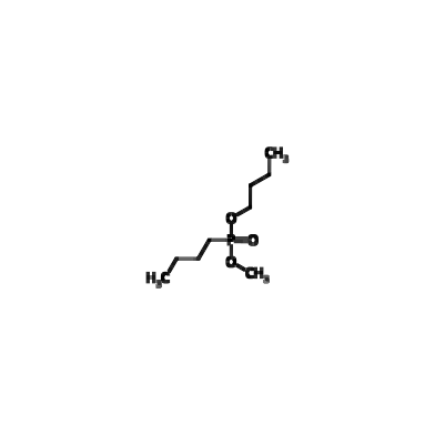 CCCCOP(=O)(CCCC)OC